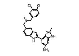 Cc1nc2c(-c3cc4cc(CN(C)Cc5ccc(Cl)c(Cl)c5)ccc4[nH]3)cc(N)nc2[nH]1